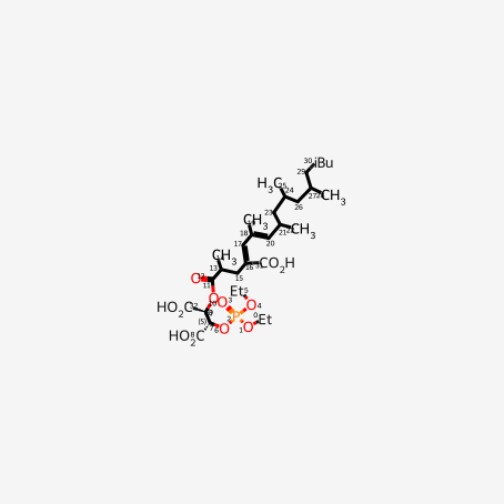 CCOP(=O)(OCC)O[C@H](C(=O)O)[C@H](OC(=O)C(C)CC(=CC(C)=CC(C)CC(C)CC(C)CC(C)CC)C(=O)O)C(=O)O